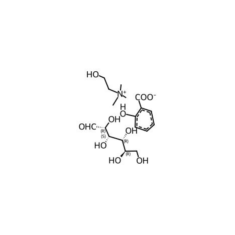 C[N+](C)(C)CCO.O=C([O-])c1ccccc1O.O=C[C@H](O)[C@@H](O)[C@H](O)[C@H](O)CO